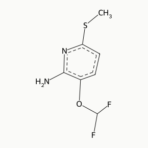 CSc1ccc(OC(F)F)c(N)n1